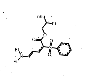 CCCCC(CC)COC(=O)C(=CC=CN(CC)CC)S(=O)(=O)c1ccccc1